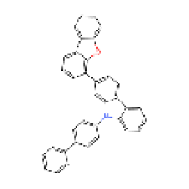 c1ccc(-c2ccc(-n3c4ccccc4c4ccc(-c5cccc6c5oc5ccccc56)cc43)cc2)cc1